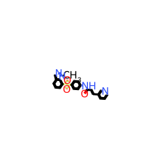 Cn1ncc2cccc(S(=O)(=O)c3ccc(NC(=O)C=Cc4cccnc4)cc3)c21